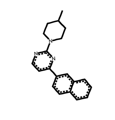 CC1CCN(c2nccc(-c3ccc4ccccc4c3)n2)CC1